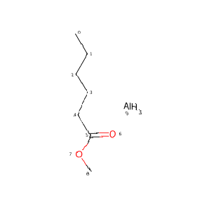 CCCCCC(=O)OC.[AlH3]